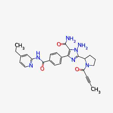 CC#CC(=O)N1CCCC1c1nc(-c2ccc(C(=O)Nc3cc(CC)ccn3)cc2)c(C(N)=O)n1N